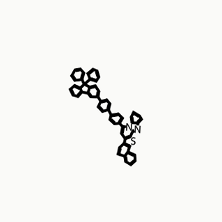 c1ccc(C2(c3ccccc3)c3ccccc3-c3cc(-c4ccc(-c5ccc(-c6cc7c8ccc9ccccc9c8sc7c7nc8ccccc8n67)cc5)cc4)ccc32)cc1